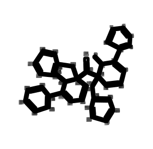 CC1C(c2ccccc2)=CC=CC1(Cc1ccccc1)C(=O)C1(Cc2ccccc2)C=CC=C(c2ccccc2)C1C